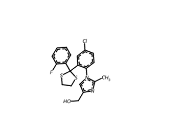 Cc1nc(CO)cn1-c1ccc(Cl)cc1C1(c2ccccc2F)SCCS1